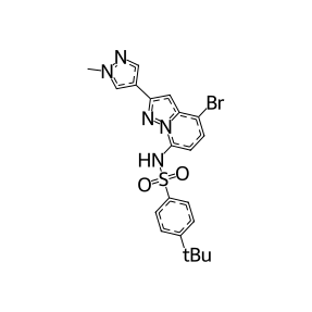 Cn1cc(-c2cc3c(Br)ccc(NS(=O)(=O)c4ccc(C(C)(C)C)cc4)n3n2)cn1